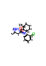 CC(N)CC1=N[C@]2(c3ccccc3Cl)CCC[C@H](O1)C2=O